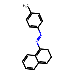 Cc1ccc(N=NC2=c3ccccc3=CCC2)cc1